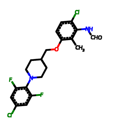 Cc1c(OCC2CCN(c3c(F)cc(Cl)cc3F)CC2)ccc(Cl)c1NC=O